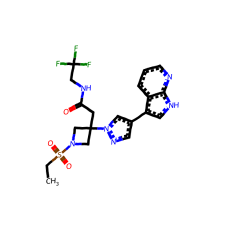 CCS(=O)(=O)N1CC(CC(=O)NCC(F)(F)F)(n2cc(-c3c[nH]c4ncccc34)cn2)C1